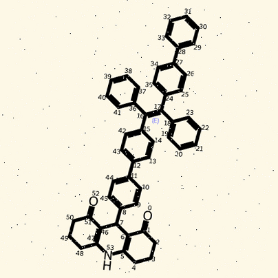 O=C1CCCC2=C1C(c1ccc(-c3ccc(/C(=C(\c4ccccc4)c4ccc(-c5ccccc5)cc4)c4ccccc4)cc3)cc1)C1=C(CCCC1=O)N2